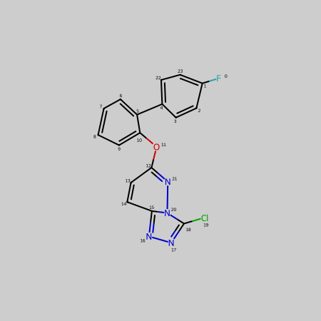 Fc1ccc(-c2ccccc2Oc2ccc3nnc(Cl)n3n2)cc1